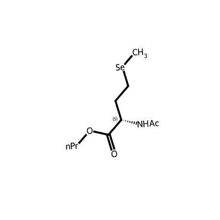 CCCOC(=O)[C@H](CC[Se]C)NC(C)=O